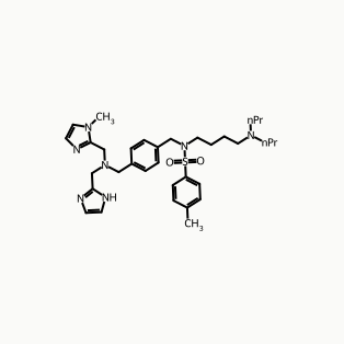 CCCN(CCC)CCCCN(Cc1ccc(CN(Cc2ncc[nH]2)Cc2nccn2C)cc1)S(=O)(=O)c1ccc(C)cc1